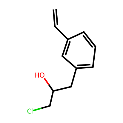 C=Cc1cccc(CC(O)CCl)c1